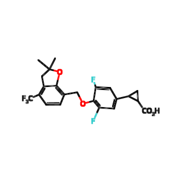 CC1(C)Cc2c(C(F)(F)F)ccc(COc3c(F)cc(C4CC4C(=O)O)cc3F)c2O1